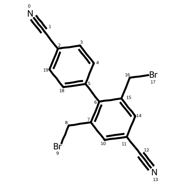 N#Cc1ccc(-c2c(CBr)cc(C#N)cc2CBr)cc1